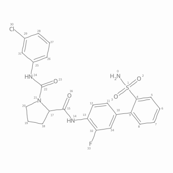 NS(=O)(=O)c1ccccc1-c1ccc(NC(=O)C2CCCN2C(=O)Nc2cccc(Cl)c2)c(F)c1